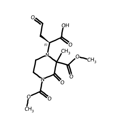 COC(=O)N1CCN([C@@H](CC=O)C(=O)O)C(C)(C(=O)OC)C1=O